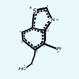 CC(C)c1c(CO)ccc2scnc12